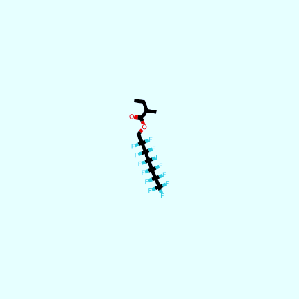 CCC(C)C(=O)OCC(F)(F)C(F)(F)C(F)(F)C(F)(F)C(F)(F)C(F)(F)F